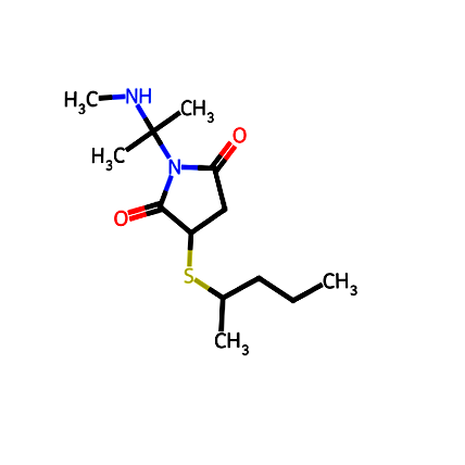 CCCC(C)SC1CC(=O)N(C(C)(C)NC)C1=O